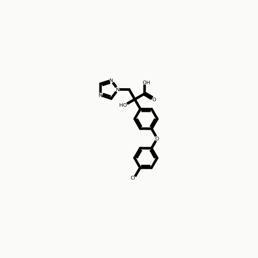 O=C(O)C(O)(Cn1cncn1)c1ccc(Oc2ccc(Cl)cc2)cc1